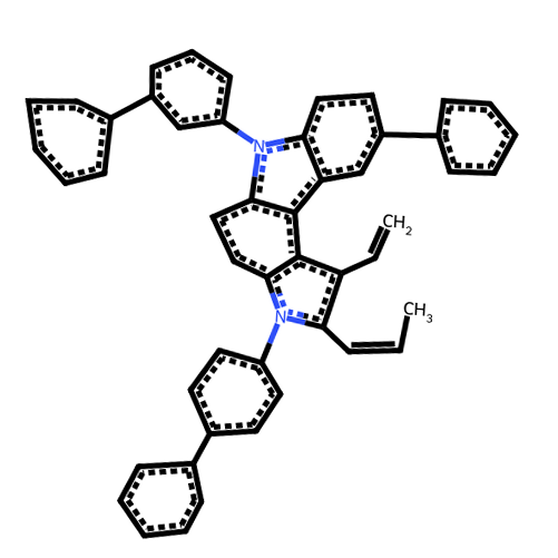 C=Cc1c(/C=C\C)n(-c2ccc(-c3ccccc3)cc2)c2ccc3c(c4cc(-c5ccccc5)ccc4n3-c3cccc(-c4ccccc4)c3)c12